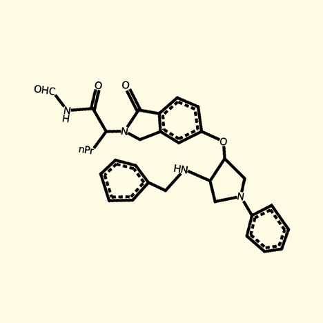 CCCC(C(=O)NC=O)N1Cc2cc(OC3CN(c4ccccc4)CC3NCc3ccccc3)ccc2C1=O